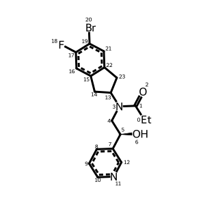 CCC(=O)N(C[C@@H](O)c1cccnc1)C1Cc2cc(F)c(Br)cc2C1